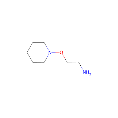 NCCON1CCCCC1